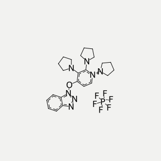 F[P-](F)(F)(F)(F)F.c1ccc2c(c1)nnn2Oc1cc[n+](N2CCCC2)c(N2CCCC2)c1N1CCCC1